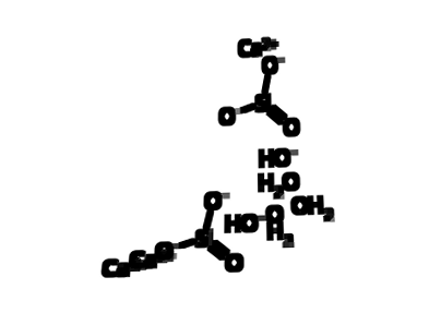 O.O.O.O=[Si]([O-])[O-].O=[Si]([O-])[O-].[Ca+2].[Ca+2].[Ca+2].[OH-].[OH-]